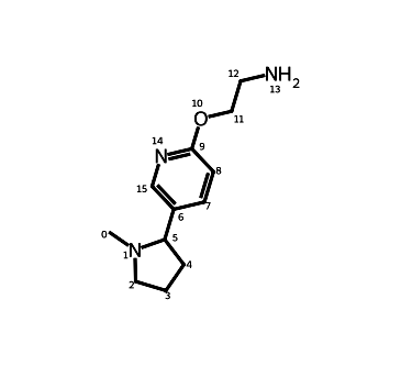 CN1CCCC1c1ccc(OCCN)nc1